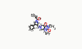 CC(C)CN1C(=O)N(C)C(=O)C12CCN(CC1CN(C(=O)CC(C)(C)C)CC1c1ccccc1)CC2